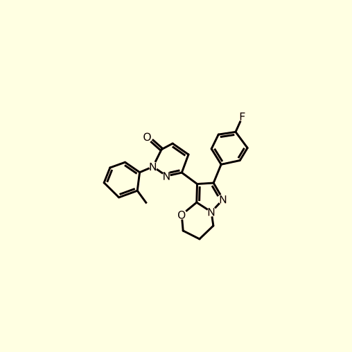 Cc1ccccc1-n1nc(-c2c(-c3ccc(F)cc3)nn3c2OCCC3)ccc1=O